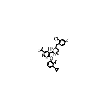 CC(F)c1cc(C2=NOCC(Cc3ccc(Cl)cc3Cl)N2)c(Oc2cccc(C3CC3)c2F)nn1